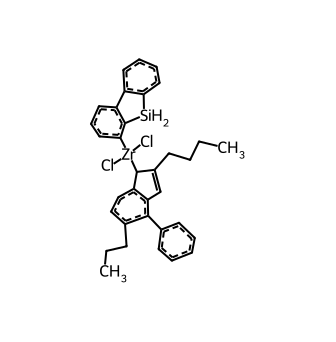 CCCCC1=Cc2c(ccc(CCC)c2-c2ccccc2)[CH]1[Zr]([Cl])([Cl])[c]1cccc2c1[SiH2]c1ccccc1-2